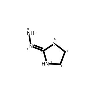 [NH]N=C1NCCS1